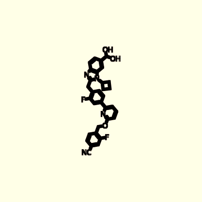 N#Cc1ccc(COc2cccc(-c3ccc(Cc4nc5ccc(C(O)O)cc5n4C4CCC4)c(F)c3)n2)c(F)c1